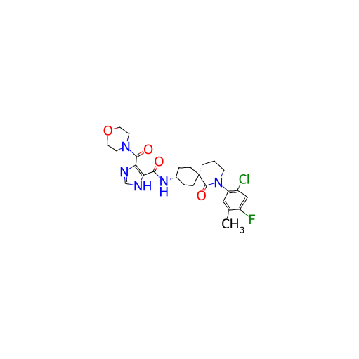 Cc1cc(N2CCC[C@]3(CC[C@@H](NC(=O)c4[nH]cnc4C(=O)N4CCOCC4)CC3)C2=O)c(Cl)cc1F